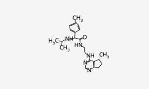 Cc1ccc(C(CNC(C)C)C(=O)NCCNc2ncnc3c2[C@H](C)CC3)cc1